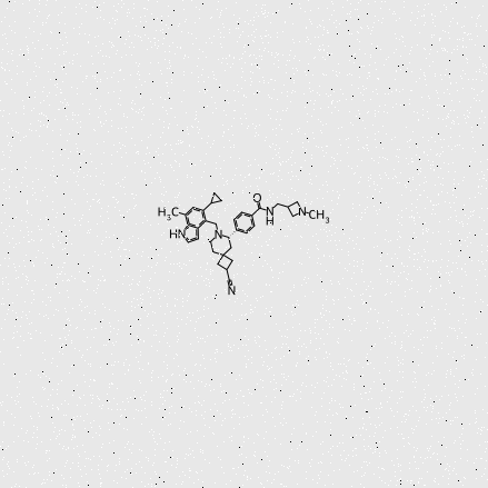 Cc1cc(C2CC2)c(CN2CCC3(CC(C#N)C3)C[C@H]2c2ccc(C(=O)NCC3CN(C)C3)cc2)c2cc[nH]c12